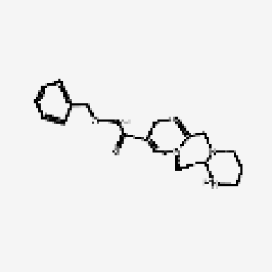 O=C(NOCc1ccccc1)C1=CN2CC3NCCCN3CC2=CC1